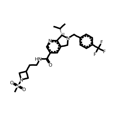 CC(C)[C@H]1c2ncc(C(=O)NCCC3CN(S(C)(=O)=O)C3)cc2CN1Cc1ccc(C(F)(F)F)cc1